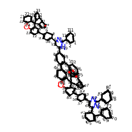 c1ccc(-c2nc(-c3ccc(-c4ccc5c(c4)C4(c6ccccc6O5)c5ccccc5-c5ccccc54)cc3)cc(-c3ccc(-c4ccc5c(c4)C4(c6cc(-c7ccc(-c8cc(-c9ccccc9-c9ccccc9)nc(-c9ccccc9)n8)cc7)ccc6O5)c5ccccc5-c5ccccc54)c(-c4ccccc4)c3)n2)cc1